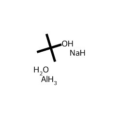 CC(C)(C)O.O.[AlH3].[NaH]